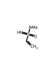 C=CS(=N)(=O)NC